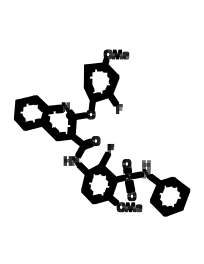 COc1ccc(Oc2nc3ccccc3cc2C(=O)Nc2ccc(OC)c(S(=O)(=O)Nc3ccccc3)c2F)c(F)c1